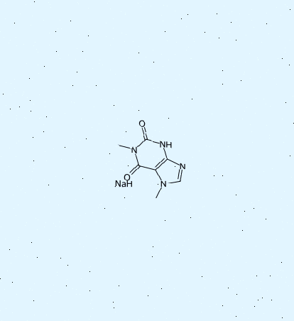 Cn1c(=O)[nH]c2ncn(C)c2c1=O.[NaH]